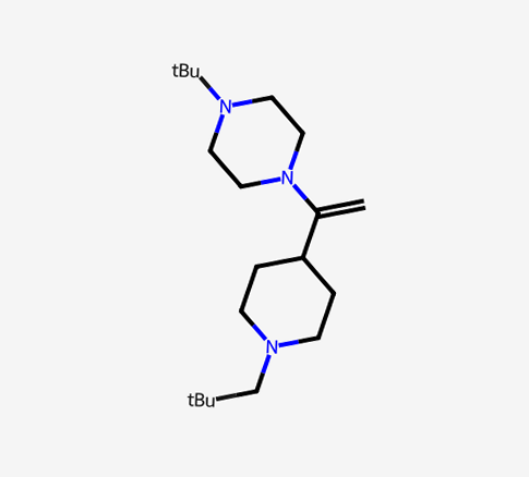 C=C(C1CCN(CC(C)(C)C)CC1)N1CCN(C(C)(C)C)CC1